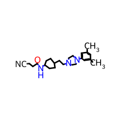 Cc1cc(C)cc(N2CCN(CCC3CCC(NC(=O)CCC#N)CC3)CC2)c1